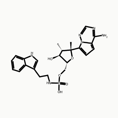 C[C@H]1[C@H](O)[C@@H](COP(=O)(O)NCCc2c[nH]c3ccccc23)O[C@@]1(C)c1ccc2c(N)ncnn12